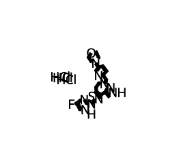 Cl.Cl.Cl.Fc1cnc(Nc2nc3c(s2)CCN(Cc2ccc(N4CCOCC4)cn2)c2n[nH]cc2-3)nc1